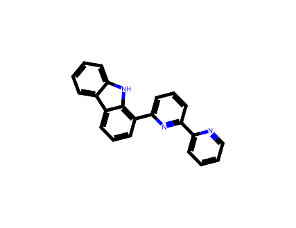 c1ccc(-c2cccc(-c3cccc4c3[nH]c3ccccc34)n2)nc1